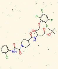 CC(C)(C)OC(=O)C[C@H](NC(=O)C1CCN(C(=O)C(=O)Nc2ccccc2Cl)CC1)C(=O)COc1c(F)c(F)cc(F)c1F